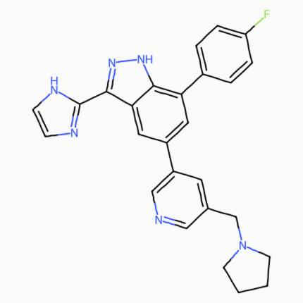 Fc1ccc(-c2cc(-c3cncc(CN4CCCC4)c3)cc3c(-c4ncc[nH]4)n[nH]c23)cc1